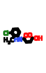 Cc1c(Cl)cccc1NC(=O)/C=C\C(=O)O